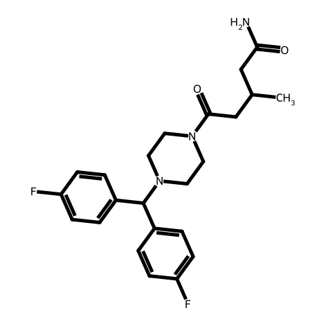 CC(CC(N)=O)CC(=O)N1CCN(C(c2ccc(F)cc2)c2ccc(F)cc2)CC1